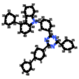 c1ccc(-c2ccc(-c3nc(-c4ccccc4)nc(-c4cccc(-n5c6ccccc6c6c(-c7ccccc7)cccc65)c4)n3)cc2)cc1